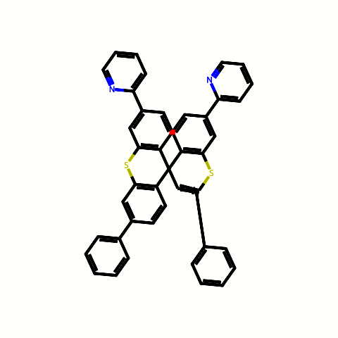 c1ccc(-c2ccc3c(c2)Sc2cc(-c4ccccn4)ccc2C32c3ccc(-c4ccccc4)cc3Sc3cc(-c4ccccn4)ccc32)cc1